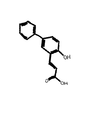 O=C(O)/C=C/c1cc(-c2ccccc2)ccc1O